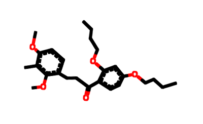 CCCCOc1ccc(C(=O)CCc2ccc(OC)c(C)c2OC)c(OCCCC)c1